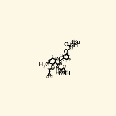 Cc1ccc2nc(-c3cccc(OCC(=O)NC(C)(C)C)c3)nc(Nc3cc[nH]n3)c2c1OCC1CC1